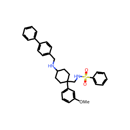 COc1cccc(C2(CNS(=O)(=O)c3ccccc3)CCC(NCc3ccc(-c4ccccc4)cc3)CC2)c1